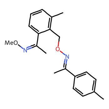 CO/N=C(/C)c1cccc(C)c1CO/N=C(\C)c1ccc(C)cc1